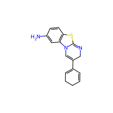 Nc1ccc2c(c1)N1C=C(C3=CCCC=C3)CN=C1S2